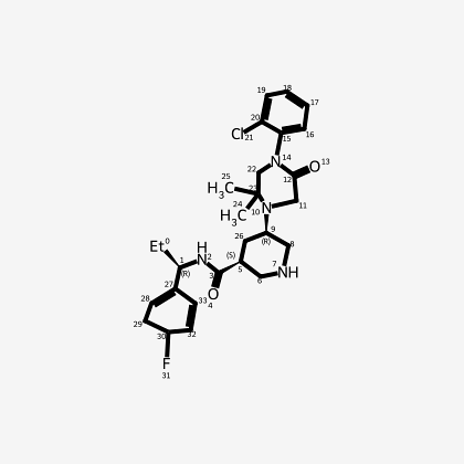 CC[C@@H](NC(=O)[C@@H]1CNC[C@H](N2CC(=O)N(c3ccccc3Cl)CC2(C)C)C1)C1=CCC(F)C=C1